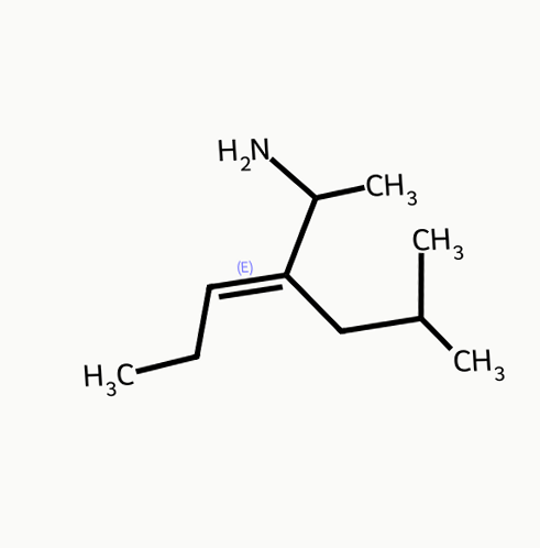 CC/C=C(\CC(C)C)C(C)N